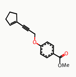 COC(=O)c1ccc(OCC#CC2=CCCC2)cc1